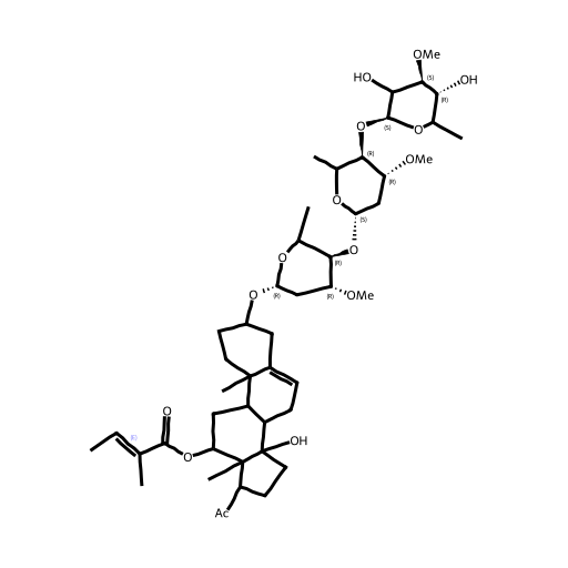 C/C=C(\C)C(=O)OC1CC2C(CC=C3CC(O[C@H]4C[C@@H](OC)[C@H](O[C@H]5C[C@@H](OC)[C@H](O[C@@H]6OC(C)[C@@H](O)[C@H](OC)C6O)C(C)O5)C(C)O4)CCC32C)C2(O)CCC(C(C)=O)C12C